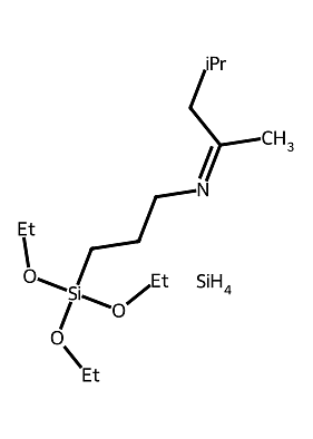 CCO[Si](CCCN=C(C)CC(C)C)(OCC)OCC.[SiH4]